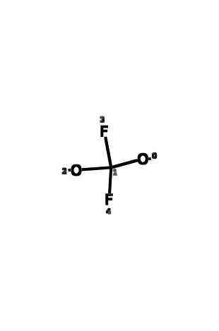 [O]C([O])(F)F